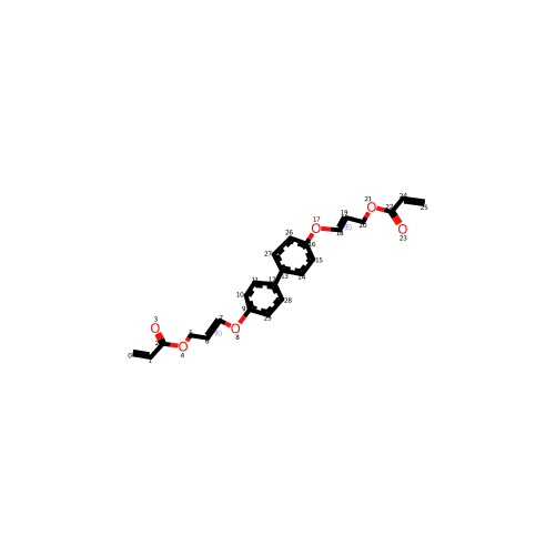 C=CC(=O)OC/C=C/Oc1ccc(-c2ccc(O/C=C/COC(=O)C=C)cc2)cc1